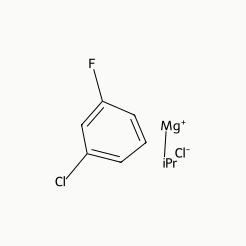 C[CH](C)[Mg+].Fc1cccc(Cl)c1.[Cl-]